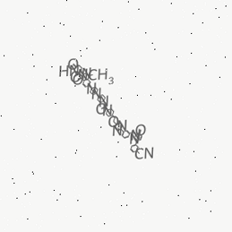 Cc1nn(C2CCC(=O)NC2=O)c(=O)c2ccc(N3CCN(C4CCN(CC(=O)N5CCC(COc6cnc(-c7cccc(Cn8nc(-c9cccc(C#N)c9)ccc8=O)c7)nc6)CC5)CC4)CC3)cc12